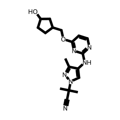 Cc1nn(C(C)(C)C#N)cc1Nc1nccc(OCC2CCC(O)C2)n1